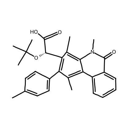 Cc1ccc(-c2c([C@H](OC(C)(C)C)C(=O)O)c(C)c3c(c2C)c2ccccc2c(=O)n3C)cc1